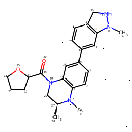 CC(=O)N1c2ccc(-c3ccc4c(c3)N(C)NC4)cc2N(C(=O)C2CCCO2)C[C@@H]1C